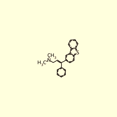 CN(C)CC=C(c1ccccc1)c1ccc2sc3ccccc3c2c1